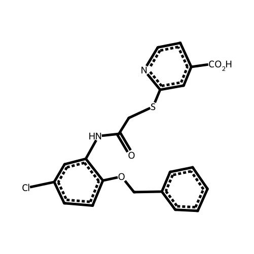 O=C(CSc1cc(C(=O)O)ccn1)Nc1cc(Cl)ccc1OCc1ccccc1